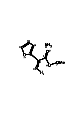 N.[H]/N=C(\C(=O)OOC)c1ccco1